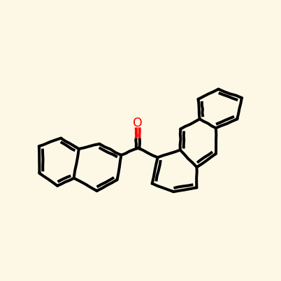 O=C(c1ccc2ccccc2c1)c1cccc2cc3ccccc3cc12